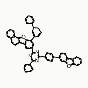 C1=CC(c2cc(-c3nc(-c4ccccc4)nc(-c4ccc(-c5ccc6c(c5)oc5ccccc56)cc4)n3)cc3c2oc2c4ccccc4ccc32)=CC(c2ccccc2)C1